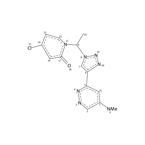 CNc1cnnc(-c2cn(C(C)n3ccc(Cl)cc3=O)nn2)c1